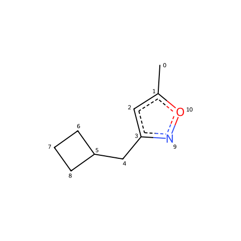 Cc1cc(CC2CCC2)no1